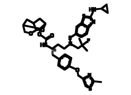 Cc1nc(COc2ccc(C[C@@H](CCN(CC(C)(C)F)Sc3ccc4nc(NC5CC5)sc4c3)NC(=O)OC3C4COC5OC3CC5C4)cc2)cs1